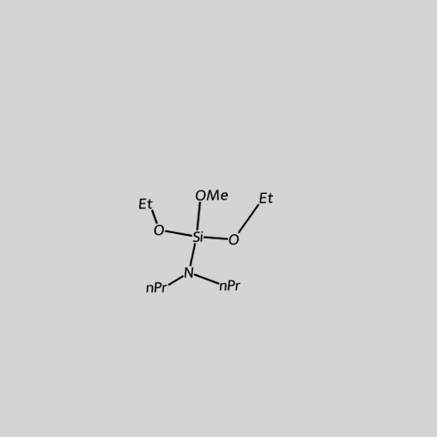 CCCN(CCC)[Si](OC)(OCC)OCC